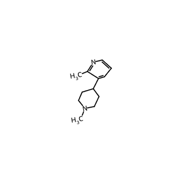 Cc1ncccc1C1CCN(C)CC1